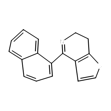 c1ccc2c(C3=NCCc4sccc43)cccc2c1